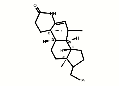 CC(C)CC1CC[C@H]2[C@@H]3C(C)C=C4NC(=O)CC[C@]4(C)[C@@H]3CC[C@]12C